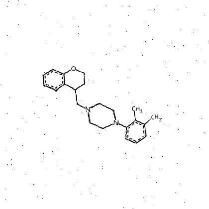 Cc1cccc(N2CCN(CC3CCOc4ccccc43)CC2)c1C